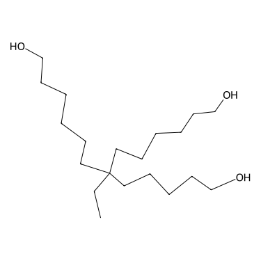 CCC(CCCCCO)(CCCCCCO)CCCCCCO